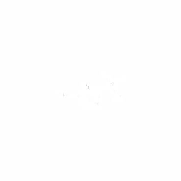 CCC(C)(C)c1nc(C(C)(C)C)cs1